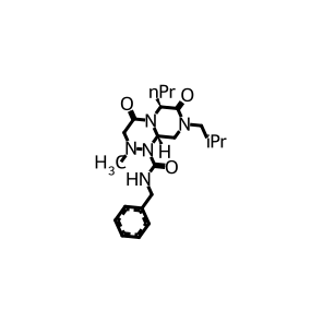 CCC[C@H]1C(=O)N(CC(C)C)C[C@H]2N1C(=O)CN(C)N2C(=O)NCc1ccccc1